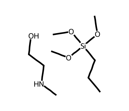 CCC[Si](OC)(OC)OC.CNCCO